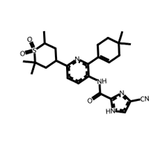 CC1CC(c2ccc(NC(=O)c3nc(C#N)c[nH]3)c(C3=CCC(C)(C)CC3)n2)CC(C)(C)S1(=O)=O